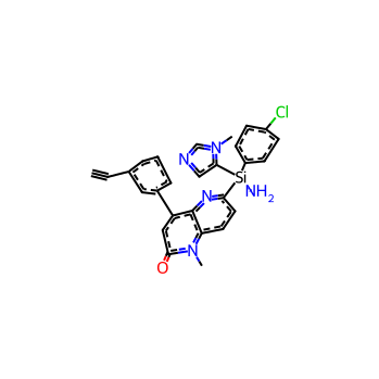 C#Cc1cccc(-c2cc(=O)n(C)c3ccc([Si@](N)(c4ccc(Cl)cc4)c4cncn4C)nc23)c1